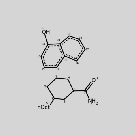 CCCCCCCCC1CCCC(C(N)=O)C1.Oc1cccc2ccccc12